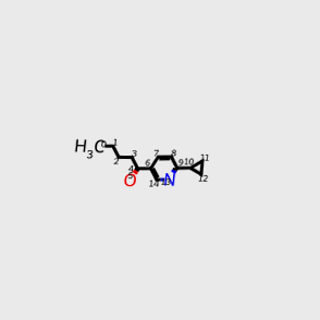 CCCCC(=O)c1ccc(C2CC2)nc1